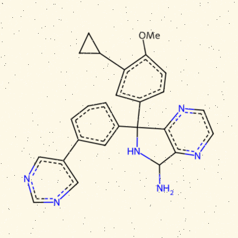 COc1ccc(C2(c3cccc(-c4cncnc4)c3)NC(N)c3nccnc32)cc1C1CC1